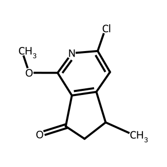 COc1nc(Cl)cc2c1C(=O)CC2C